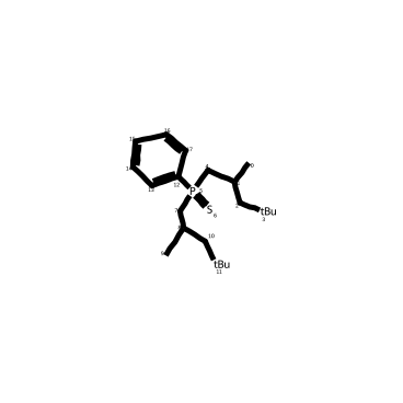 CC(CC(C)(C)C)CP(=S)(CC(C)CC(C)(C)C)c1ccccc1